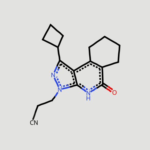 N#CCCn1nc(C2CCC2)c2c3c(c(=O)[nH]c21)CCCC3